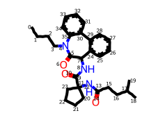 CCCCN1C(=O)C(NC(=O)C2(NC(=O)CCC(C)C)CCCC2)c2ccccc2-c2ccccc21